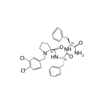 NC(=O)[C@H](Cc1ccccc1)NC(=O)[C@H](Cc1ccccc1)NC(=O)[C@@H]1CCCN1Cc1ccc(Cl)c(Cl)c1